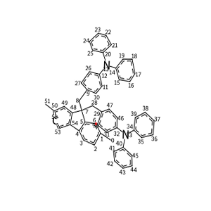 Cc1ccc2c(c1)C(Cc1ccc(N(c3ccccc3)c3ccccc3)cc1)(Cc1ccc(N(c3ccccc3)c3ccccc3)cc1)c1cc(C)ccc1-2